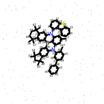 Cc1cc2c3c(c1)N(c1cccc4sc5ccccc5c14)c1cc4c(cc1B3c1cc3c(cc1N2c1cc(-c2ccccc2)ccc1C)C(C)(C)CC3(C)C)C(C)(C)CCC4(C)C